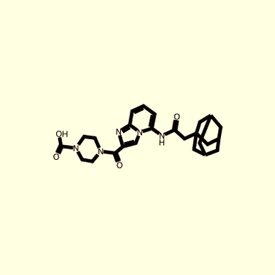 O=C(CC12CC3CC(CC(C3)C1)C2)Nc1cccc2nc(C(=O)N3CCN(C(=O)O)CC3)cn12